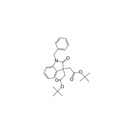 CC(C)(C)OC(=O)CC1(CC(=O)OC(C)(C)C)C(=O)N(Cc2ccccc2)c2ccccc21